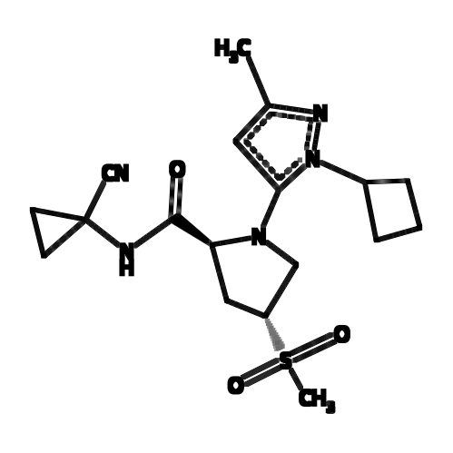 Cc1cc(N2C[C@H](S(C)(=O)=O)C[C@H]2C(=O)NC2(C#N)CC2)n(C2CCC2)n1